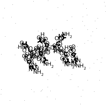 COP(=O)(S)O[C@@H]1C[C@H](n2cnc3c(N)ncnc32)O[C@@H]1COP(=O)(S)O[C@@H]1C[C@H](n2cc(C)c(=O)[nH]c2=O)O[C@@H]1COP(=O)(S)O[C@@H]1C[C@H](n2cc(C)c(N)nc2=O)O[C@@H]1COP(=O)(S)O[C@@H]1C[C@H](n2cc(C)c(=O)[nH]c2=O)O[C@@H]1COP(=O)(S)O[C@@H]1C[C@H](n2cc(C)c(N)nc2=O)O[C@@H]1COP(=O)(S)O[C@@H]1C[C@H](n2cc(C)c(N)nc2=O)O[C@@H]1COP(=O)(S)O[C@@H]1C[C@H](n2cnc3c(N)ncnc32)O[C@@H]1C